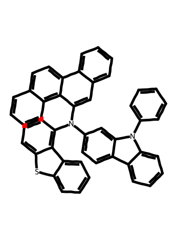 c1ccc(-n2c3ccccc3c3ccc(N(c4cccc5sc6ccccc6c45)c4cc5ccccc5c5ccc6ccccc6c45)cc32)cc1